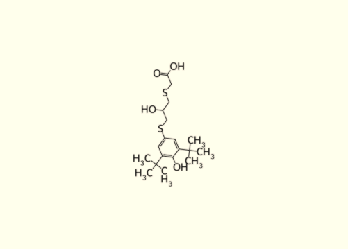 CC(C)(C)c1cc(SCC(O)CSCC(=O)O)cc(C(C)(C)C)c1O